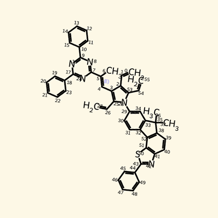 C=Cc1c(/C=C(\C)c2nc(-c3ccccc3)nc(-c3ccccc3)n2)c(C=C)n(-c2ccc3c(c2)C(C)(C)c2ccc4nc(-c5ccccc5)sc4c2-3)c1C=C